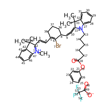 C[N+]1=C(/C=C/C2=C(Br)C(C=C=C3N(CCCCCC(=O)Oc4ccccc4)c4ccccc4C3(C)C)CCC2)C(C)(C)c2ccccc21.O=C([O-])C(F)(F)F